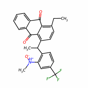 CCc1ccc(C(C)c2ccc(C(F)(F)F)cc2[NH+](C)[O-])c2c1C(=O)c1ccccc1C2=O